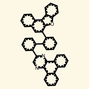 c1ccc(-c2ccccc2-c2cc3ccccc3c3c2oc2ccccc23)c(-c2cnc3c4ccccc4c4ccccc4c3n2)c1